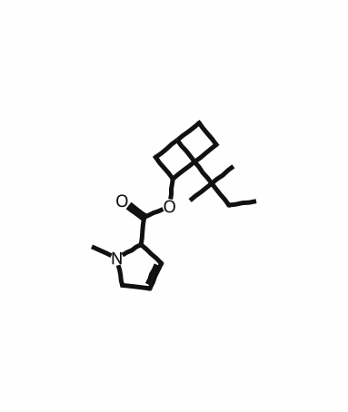 CCC(C)(C)C12CCC1CC2OC(=O)C1C=CCN1C